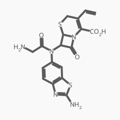 C=CC1=C(C(=O)O)N2C(=O)C(N(C(=O)CN)c3ccc4nc(N)sc4c3)C2SC1